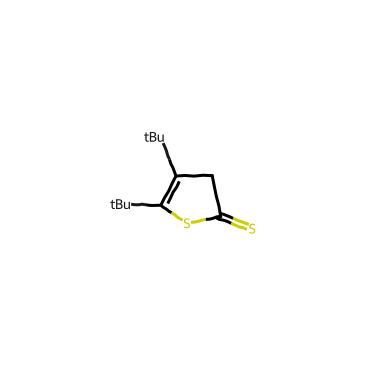 CC(C)(C)C1=C(C(C)(C)C)SC(=S)C1